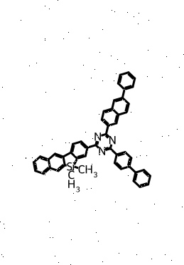 C[Si]1(C)c2cc(-c3nc(-c4ccc(-c5ccccc5)cc4)nc(-c4ccc5cc(-c6ccccc6)ccc5c4)n3)ccc2-c2cc3ccccc3cc21